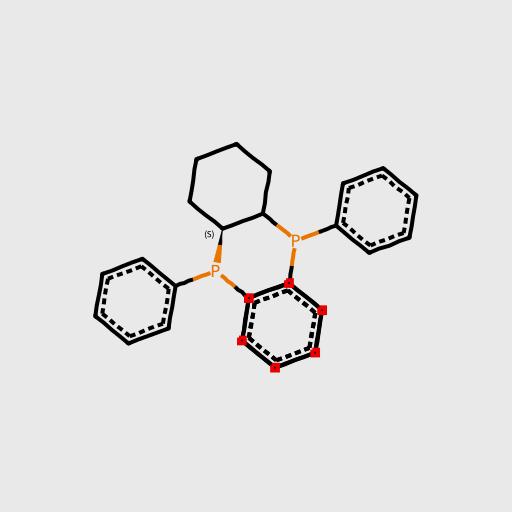 c1ccc(P(c2ccccc2)C2CCCC[C@@H]2P(c2ccccc2)c2ccccc2)cc1